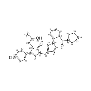 O=C(c1ccccc1-n1cnc(Cn2nc(-c3ccc(Cl)cc3)n(CC(O)C(F)(F)F)c2=O)n1)N1CCSCC1